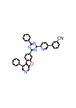 N#Cc1cccc(-c2ccc(-c3nc(-c4ccccc4)nc(-c4ccc5c(c4)oc4cncc(-c6ccccc6)c45)n3)nc2)c1